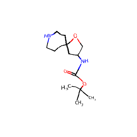 CC(C)(C)OC(=O)NC1COC2(CCNCC2)C1